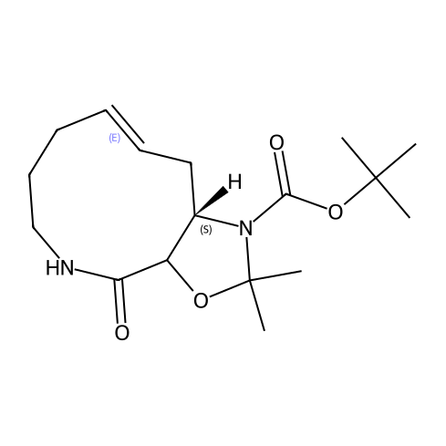 CC(C)(C)OC(=O)N1[C@H]2C/C=C/CCCNC(=O)C2OC1(C)C